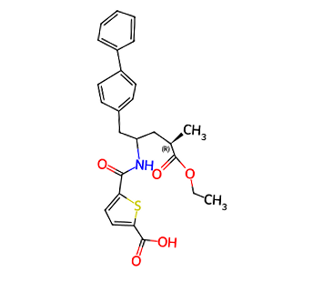 CCOC(=O)[C@H](C)CC(Cc1ccc(-c2ccccc2)cc1)NC(=O)c1ccc(C(=O)O)s1